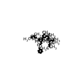 Cc1nc(COC(=O)NC(CC(=O)OCc2ccccc2)C(=O)NC(CC(C)C)C(O)CC(C)C(=O)NC(C(=O)NCC(C)C)C(C)C)c(C)o1